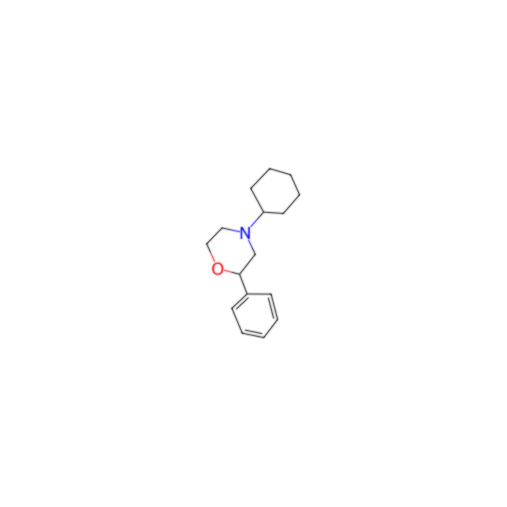 c1ccc(C2CN(C3CCCCC3)CCO2)cc1